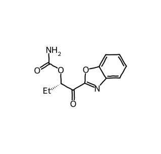 CC[C@H](OC(N)=O)C(=O)c1nc2ccccc2o1